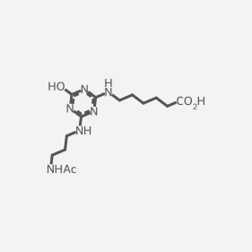 CC(=O)NCCCNc1nc(O)nc(NCCCCCC(=O)O)n1